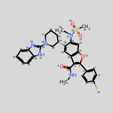 CNC(=O)c1c(-c2ccc(F)cc2)oc2cc(N(C)S(C)(=O)=O)c([C@H]3CCCN(c4nc5ccccc5[nH]4)C3)cc12